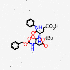 CC(C)(C)OC(=O)CC(NC(=O)OCc1ccccc1)C(=O)NC(CCC(=O)O)C(=O)Nc1ccccc1